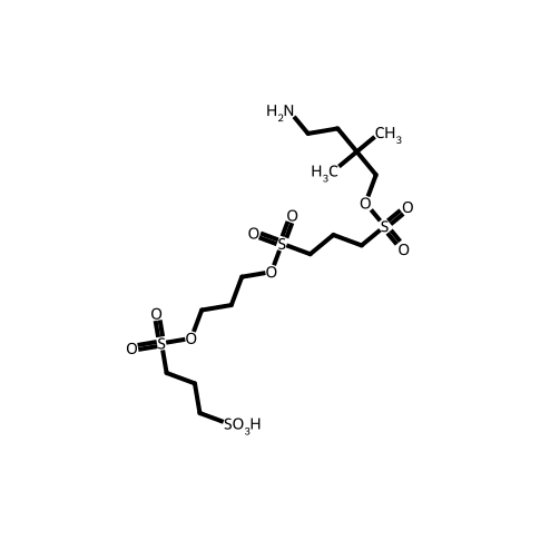 CC(C)(CCN)COS(=O)(=O)CCCS(=O)(=O)OCCCOS(=O)(=O)CCCS(=O)(=O)O